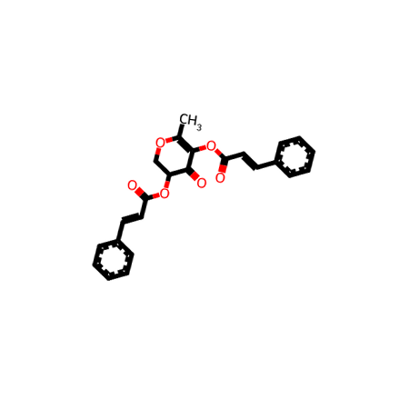 CC1=C(OC(=O)/C=C/c2ccccc2)C(=O)C(OC(=O)/C=C/c2ccccc2)CO1